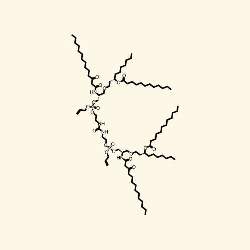 C=CCOP(=O)(OCCNC(=O)NCCOP(=O)(OCC=C)OC[C@@H](COCC[C@H](CCCCCCC)OC(=O)CCCCCCCCCCC)NC(=O)CC(=O)CCCCCCCCCCC)OC[C@@H](COCC[C@H](CCCCCCC)OC(=O)CCCCCCCCCCC)NC(=O)CC(=O)CCCCCCCCCCC